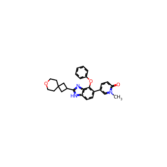 Cn1cc(-c2ccc3[nH]c(C4CC5(CCOCC5)C4)nc3c2Oc2ccccc2)ccc1=O